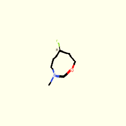 CN1CC[C@@H](F)CCOC1